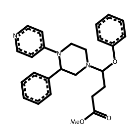 COC(=O)CCC(Oc1ccccc1)N1CCN(c2ccncc2)C(c2ccccc2)C1